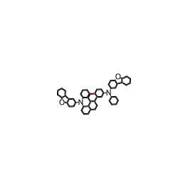 c1ccc(N(c2ccc3ccc4c(ccc5cccc(N(c6ccccc6)c6ccc7oc8ccccc8c7c6)c54)c3c2)c2ccc3oc4ccccc4c3c2)cc1